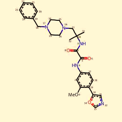 COc1cc(NC(=O)C(=O)NC(C)(C)CN2CCN(Cc3ccccc3)CC2)ccc1-c1cnco1